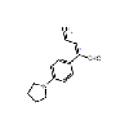 C=C/C=C(/C=O)c1ccc(N2CCCC2)cc1